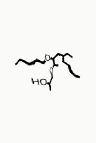 CCCCCOC(CC(CC)CCCC)C(C)OCC(C)O